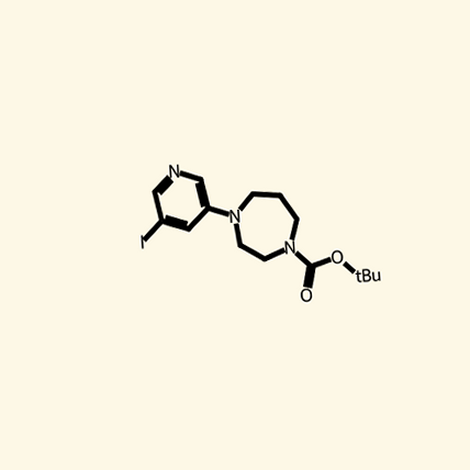 CC(C)(C)OC(=O)N1CCCN(c2cncc(I)c2)CC1